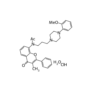 COc1ccccc1N1CCN(CCCN(C(C)=O)c2cccc3c(=O)c(C)c(-c4ccccc4)oc23)CC1.Cl.O